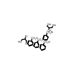 CC(CO)CO.CCC(CO)CO.O=C(O)c1ccccc1.O=C(O)c1ccccc1.O=C(O)c1ccccc1.O=C(O)c1ccccc1